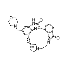 O=c1[nH]c2cc(CN3CCOCC3)cc3c2nc1-c1cccc2c(=O)n(sc12)CCN1CC[C@@H](C1)O3